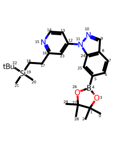 CC1(C)OB(c2ccc3cnn(-c4ccnc(CC[Si](C)(C)C(C)(C)C)c4)c3c2)OC1(C)C